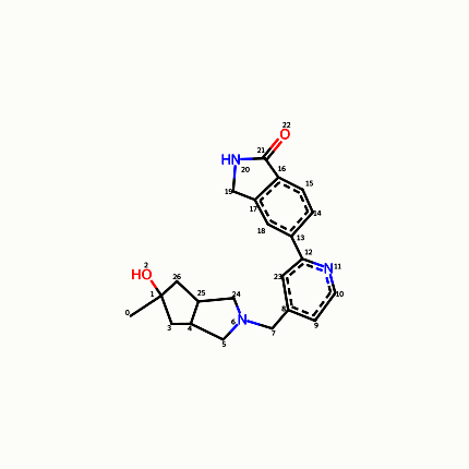 CC1(O)CC2CN(Cc3ccnc(-c4ccc5c(c4)CNC5=O)c3)CC2C1